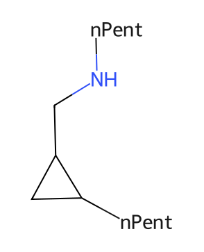 CCCCCNCC1CC1CCCCC